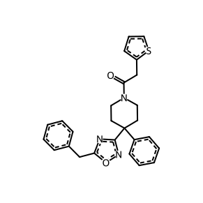 O=C(Cc1cccs1)N1CCC(c2ccccc2)(c2noc(Cc3ccccc3)n2)CC1